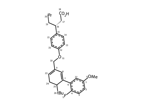 COc1ccc(F)c(C2=CC(COc3ccc([C@@H](CC(=O)O)CC(C)C)cc3)=CCC2C(C)(C)C)c1